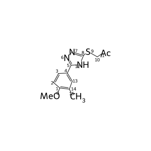 COc1ccc(-c2nnc(SCC(C)=O)[nH]2)cc1C